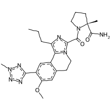 CCCc1nc(C(=O)N2CCC[C@]2(C)C(N)=O)n2c1-c1cc(-c3nnn(C)n3)c(OC)cc1CC2